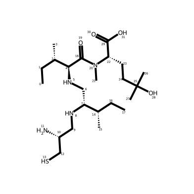 CC[C@H](C)[C@H](NC[C@@H](NC[C@@H](N)CS)[C@@H](C)CC)C(=O)N(C)[C@@H](CCC(C)(C)O)C(=O)O